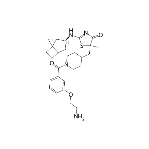 CC1(CC2CCN(C(=O)c3cccc(OCCN)c3)CC2)SC(N[C@H]2CC3CCC34CC24)=NC1=O